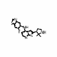 CC1(C)NCCC1c1cc2c(Nc3cc4ncsc4cc3F)ccnc2s1